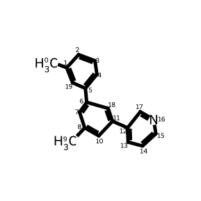 Cc1cccc(-c2cc(C)cc(-c3cccnc3)c2)c1